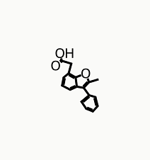 Cc1oc2c(CC(=O)O)cccc2c1-c1ccccc1